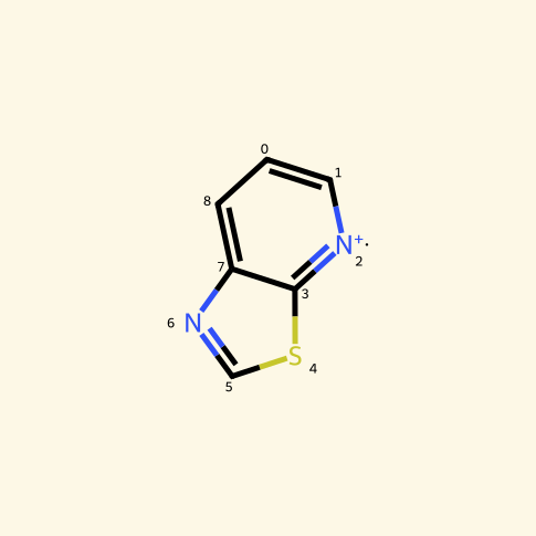 C1=C[N+]=c2scnc2=C1